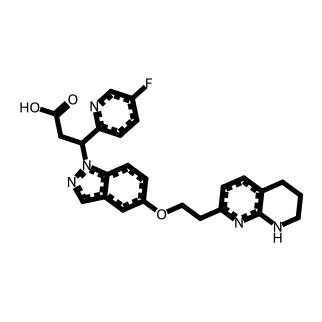 O=C(O)CC(c1ccc(F)cn1)n1ncc2cc(OCCc3ccc4c(n3)NCCC4)ccc21